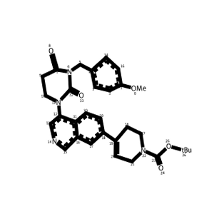 COc1ccc(CN2C(=O)CCN(c3cncc4cc(C5=CCN(C(=O)OC(C)(C)C)CC5)ccc34)C2=O)cc1